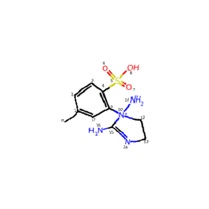 Cc1ccc(S(=O)(=O)O)c([N+]2(N)CCN=C2N)c1